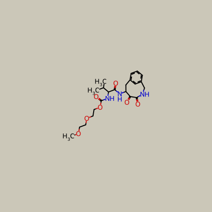 COCCOCCOC(=O)NC(C(=O)NC1Cc2cccc(c2)CNC(=O)C1=O)C(C)C